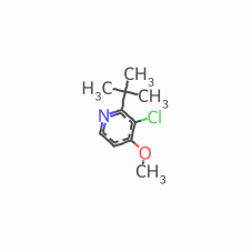 COc1ccnc(C(C)(C)C)c1Cl